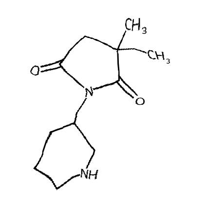 CC1(C)CC(=O)N(C2CCCNC2)C1=O